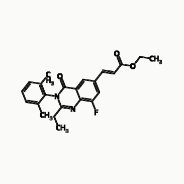 CCOC(=O)C=Cc1cc(F)c2nc(CC)n(-c3c(C)cccc3C)c(=O)c2c1